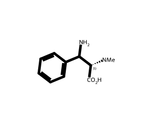 CN[C@H](C(=O)O)C(N)c1ccccc1